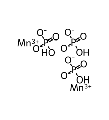 O=P([O-])([O-])O.O=P([O-])([O-])O.O=P([O-])([O-])O.[Mn+3].[Mn+3]